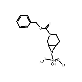 CCO[PH](O)(OCC)N1C2CCN(C(=O)OCc3ccccc3)CC21